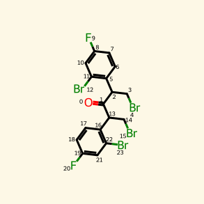 O=C(C(CBr)c1ccc(F)cc1Br)C(CBr)c1ccc(F)cc1Br